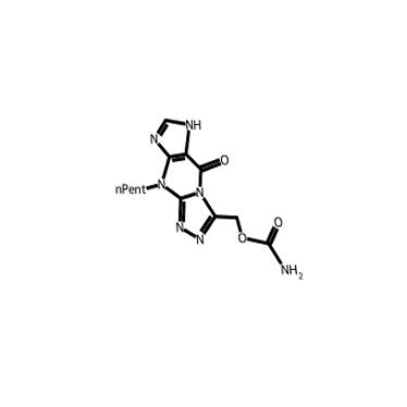 CCCCCn1c2nc[nH]c2c(=O)n2c(COC(N)=O)nnc12